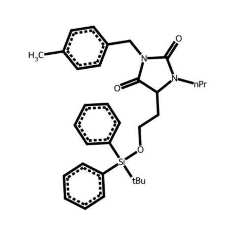 CCCN1C(=O)N(Cc2ccc(C)cc2)C(=O)C1CCO[Si](c1ccccc1)(c1ccccc1)C(C)(C)C